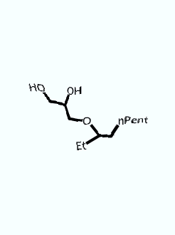 CCCCCCC(CC)OCC(O)CO